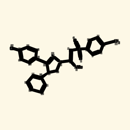 CN/C(=N\S(=O)(=O)c1ccc(C(F)(F)F)cc1)N1C[C@@H](c2ccccc2)C(c2ccc(Cl)cc2)=N1